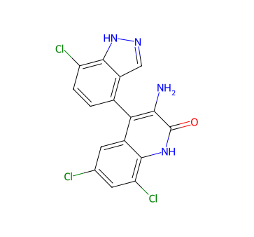 Nc1c(-c2ccc(Cl)c3[nH]ncc23)c2cc(Cl)cc(Cl)c2[nH]c1=O